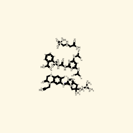 C#CCN1C(=O)COc2cc(F)c(/N=c3\snc4n3CC(C)(C)C4)cc21.C[S+](C)C.O=C(Nc1nc(OC(F)F)cc(OC(F)F)n1)NS(=O)(=O)c1ccccc1C(=O)O.O=C(O)CNCP(=O)([O-])O